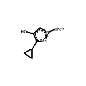 CCCCCn1cc(C#N)c(C2CC2)n1